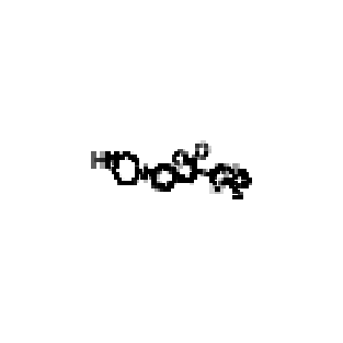 O=c1oc2cc(N3CCCNCC3)ccc2cc1-c1cn2ccsc2n1